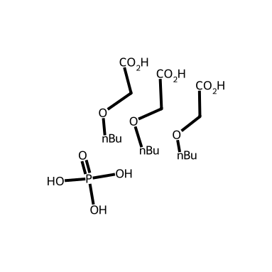 CCCCOCC(=O)O.CCCCOCC(=O)O.CCCCOCC(=O)O.O=P(O)(O)O